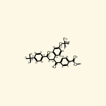 COC(=O)c1ccc(C(=O)C(CC(=O)c2ccc(C(C)(C)C)cc2)c2ccc(OC(F)(F)F)cc2)cc1